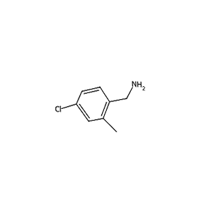 Cc1cc(Cl)ccc1CN